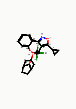 OC1C2CCC1CC(OCc1c(-c3ccccc3OC(F)(F)F)noc1C1CC1)C2